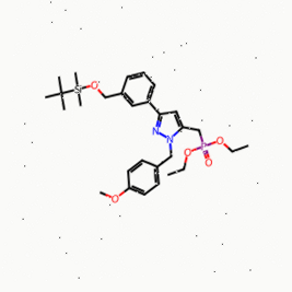 CCOP(=O)(Cc1cc(-c2cccc(CO[Si](C)(C)C(C)(C)C)c2)nn1Cc1ccc(OC)cc1)OCC